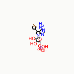 Nc1ncnc2c1c(-c1ccsc1)cn2[C@@H]1O[C@H](COP(=O)(O)O)C(O)[C@@H]1O